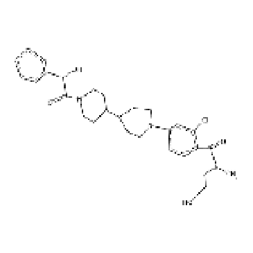 CN(CCO)C(=O)c1ccc(N2CCC(C3CCN(C(=O)C(O)c4ccccc4)CC3)CC2)cc1Cl